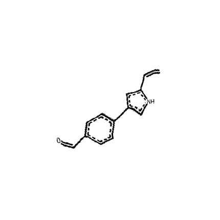 C=Cc1cc(-c2ccc(C=O)cc2)c[nH]1